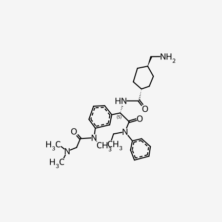 CCN(C(=O)[C@@H](NC(=O)[C@H]1CC[C@H](CN)CC1)c1cccc(N(C)C(=O)CN(C)C)c1)c1ccccc1